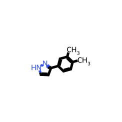 Cc1ccc(-c2cc[nH]n2)cc1C